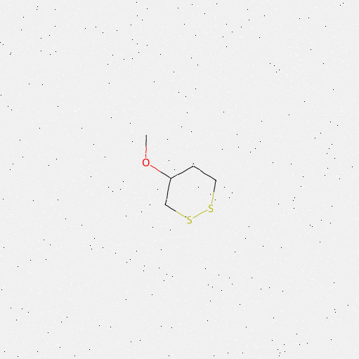 COC1[CH]CSSC1